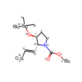 CC(C)(C)OC(=O)N1CC[C@H](O[Si](C)(C)C(C)(C)C)[C@H]1/C=C/[N+](=O)[O-]